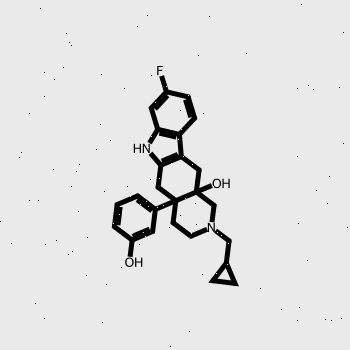 Oc1cccc(C23CCN(CC4CC4)CC2(O)Cc2c([nH]c4cc(F)ccc24)C3)c1